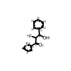 O=C(c1cccs1)C(F)C(O)c1ccccc1